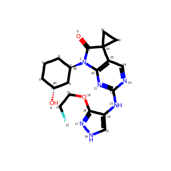 O=C1N([C@@H]2CCC[C@@H](O)C2)c2nc(Nc3c[nH]nc3OCCF)ncc2C12CC2